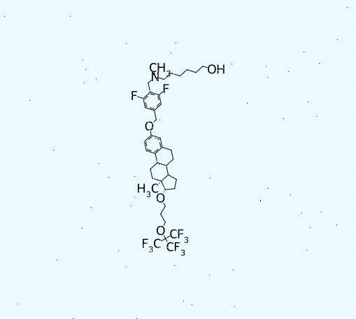 CN(CCCCCCO)Cc1c(F)cc(COc2ccc3c(c2)CCC2C3CC[C@@]3(C)C2CC[C@@H]3OCCCOC(C(F)(F)F)(C(F)(F)F)C(F)(F)F)cc1F